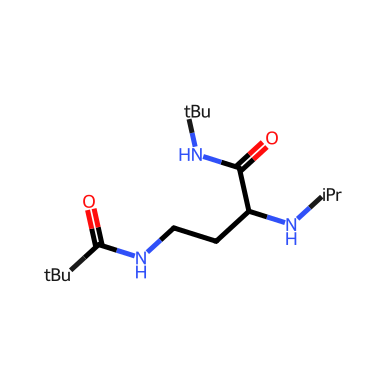 CC(C)NC(CCNC(=O)C(C)(C)C)C(=O)NC(C)(C)C